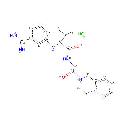 CC(C)C(Nc1cccc(C(=N)N)c1)C(=O)NCC(=O)N1CCc2ccccc2C1.Cl